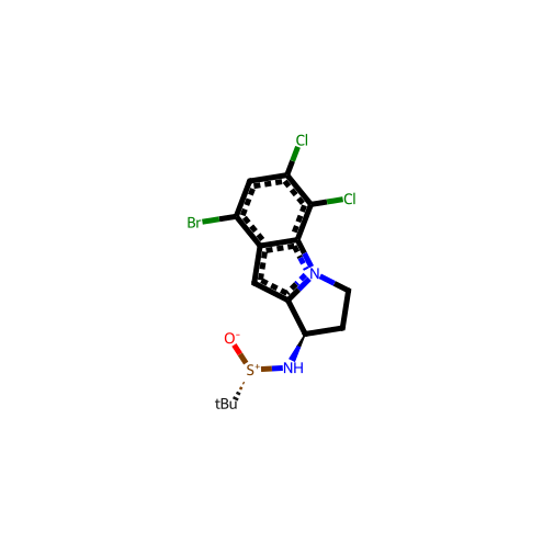 CC(C)(C)[S@+]([O-])N[C@@H]1CCn2c1cc1c(Br)cc(Cl)c(Cl)c12